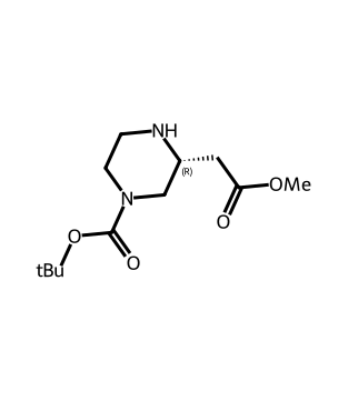 COC(=O)C[C@@H]1CN(C(=O)OC(C)(C)C)CCN1